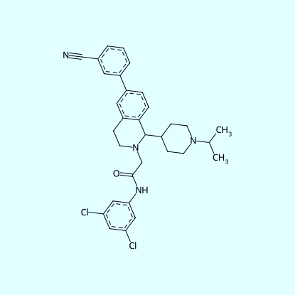 CC(C)N1CCC(C2c3ccc(-c4cccc(C#N)c4)cc3CCN2CC(=O)Nc2cc(Cl)cc(Cl)c2)CC1